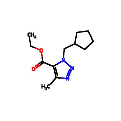 CCOC(=O)c1c(C)nnn1CC1CCCC1